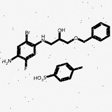 Cc1ccc(S(=O)(=O)O)cc1.Nc1cc(Br)c(NCC(O)COCc2ccccc2)cc1F